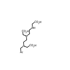 CC(=O)CN(CCN(CCNCC(=O)O)CC(=O)O)CC(=O)O